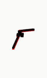 CCCCCCCCCCCCCCCCCCCc1ccnc(-c2cc(C(=O)OCC)cc(-c3cc(CCCCCCCCCCCCCCCCCCC)ccn3)n2)c1